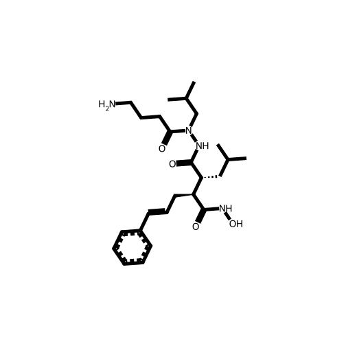 CC(C)C[C@@H](C(=O)NN(CC(C)C)C(=O)CCCN)[C@H](CC=Cc1ccccc1)C(=O)NO